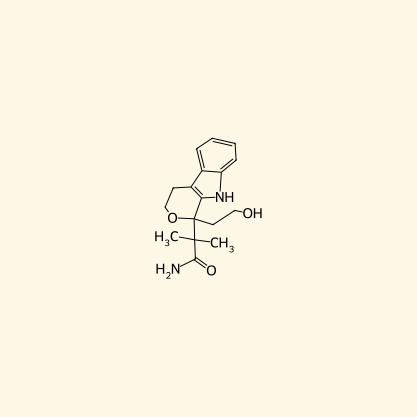 CC(C)(C(N)=O)C1(CCO)OCCc2c1[nH]c1ccccc21